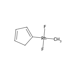 [CH3][Rh]([F])([F])[C]1=CC=CC1